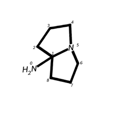 NC12CCCN1CCC2